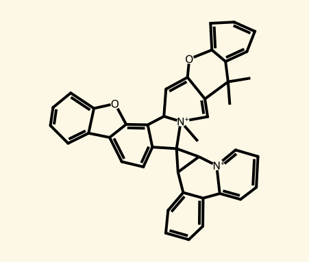 CC1(C)C2=C[N+]3(C)C(C=C2Oc2ccccc21)c1c(ccc2c1oc1ccccc12)C31C2c3ccccc3-c3cccc[n+]3C21